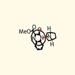 COC(=O)c1nc2ccccc2n([C@H]2C[C@H]3CC[C@@H](C2)N3C2CCCCCCCCCC2)c1=O